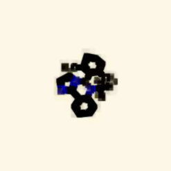 [2H]C([2H])([2H])N1B(c2c(C)cccc2C)n2ccnc2-c2ccccc21